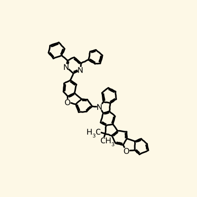 CC1(C)c2cc3oc4ccccc4c3cc2-c2cc3c4ccccc4n(-c4ccc5oc6ccc(-c7nc(-c8ccccc8)cc(-c8ccccc8)n7)cc6c5c4)c3cc21